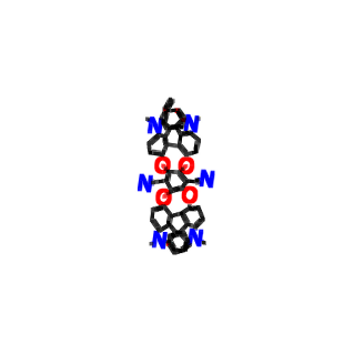 C#C/C=C\c1c(C)n(C)c2ccc3oc4c(C#N)c5oc6ccc7c(c8ccccc8n7C)c6c6c(ccc7c6c6ccccc6n7C)oc5c(C#N)c4oc4ccc5c(c6ccccc6n5C)c4c3c12